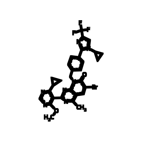 COc1ncnc(C2CC2)c1-c1nc(C)c2cc(Br)c(=O)n(Cc3ccc(-c4nc(C(F)(F)F)cn4C4CC4)cc3)c2n1